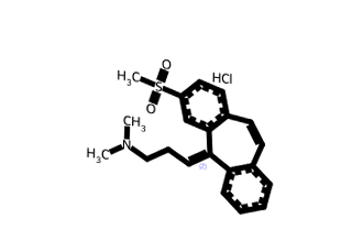 CN(C)CC/C=C1/c2ccccc2C=Cc2ccc(S(C)(=O)=O)cc21.Cl